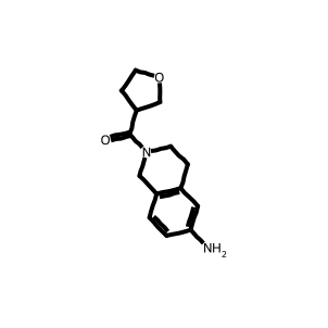 Nc1ccc2c(c1)CCN(C(=O)C1CCOC1)C2